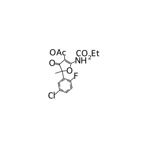 CCOC(=O)NC1=C(OC(C)=O)C(=O)C(C)(c2cc(Cl)ccc2F)O1